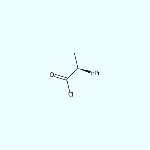 CCC[C@H](C)C(=O)Cl